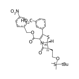 CC(C)(C)[Si](C)(C)OCC[C@H]1C(=O)N2C(C(=O)OCc3ccc([N+](=O)[O-])cc3)=C(c3cccc(C(=O)O)c3)S[C@H]12